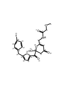 COCC(=O)NCC1=CC(=O)CC(O)(C(=O)c2ccc(Cc3ccc(F)cc3)o2)O1